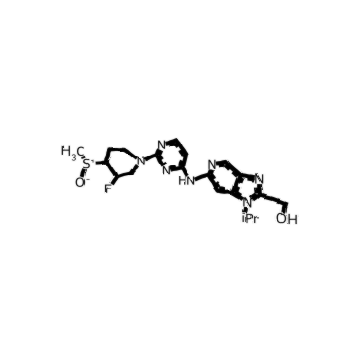 CC(C)n1c(CO)nc2cnc(Nc3ccnc(N4CCC([S+](C)[O-])C(F)C4)n3)cc21